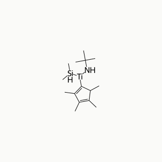 CC1=C(C)C(C)[C]([Ti]([NH]C(C)(C)C)[SiH](C)C)=C1C